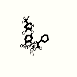 CCP(=O)(OC(C(=O)O)C1CCCCC1)c1cc(Oc2ncc(C(F)(F)F)cc2Cl)ccc1[N+](=O)[O-]